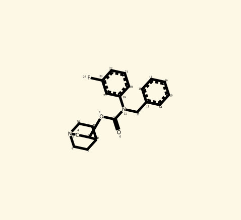 O=C(OC1CN2CCC1CC2)N(Cc1ccccc1)c1cccc(F)c1